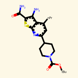 CCCc1cc(C2CCN(C(=O)OC(C)(C)C)CC2)nc2sc(C(N)=O)c(N)c12